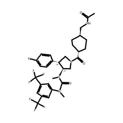 CC(=O)NC[C@H]1CC[C@H](C(=O)N2C[C@@H](N(C)C(=O)N(C)c3cc(C(F)(F)F)cc(C(F)(F)F)c3)[C@H](c3ccc(F)cc3)C2)CC1